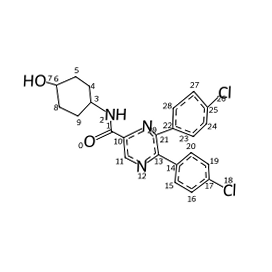 O=C(NC1CCC(O)CC1)c1cnc(-c2ccc(Cl)cc2)c(-c2ccc(Cl)cc2)n1